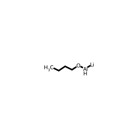 [Li][AlH][O]CCCC